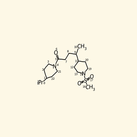 CC(C)C1CCN(C(=O)CCC(C)C2CCN(S(C)(=O)=O)CC2)CC1